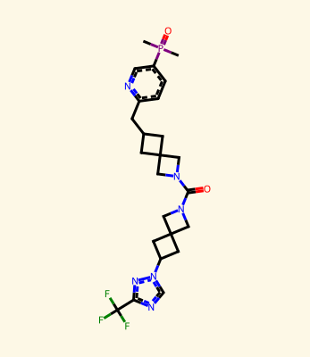 CP(C)(=O)c1ccc(CC2CC3(C2)CN(C(=O)N2CC4(CC(n5cnc(C(F)(F)F)n5)C4)C2)C3)nc1